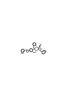 CC#CC1(OCc2cccnc2)CCC2(Cc3ccccc3)c3ccc(OCc4cccnc4)cc3CCC2C1